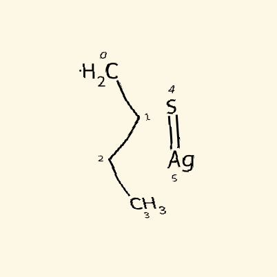 [CH2]CCC.[S]=[Ag]